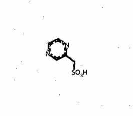 O=S(=O)(O)Cc1cn[c]cn1